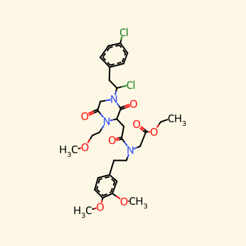 CCOC(=O)CN(CCc1ccc(OC)c(OC)c1)C(=O)CC1C(=O)N(C(Cl)Cc2ccc(Cl)cc2)CC(=O)N1CCOC